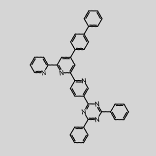 c1ccc(-c2ccc(-c3cc(-c4ccccn4)nc(-c4ccc(-c5nc(-c6ccccc6)nc(-c6ccccc6)n5)cn4)c3)cc2)cc1